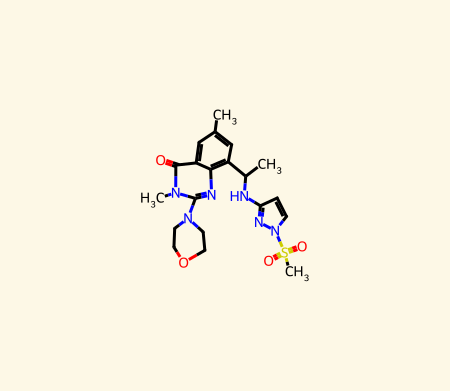 Cc1cc(C(C)Nc2ccn(S(C)(=O)=O)n2)c2nc(N3CCOCC3)n(C)c(=O)c2c1